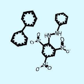 O=[N+]([O-])c1cc([N+](=O)[O-])c(NNc2ccccc2)c([N+](=O)[O-])c1.c1ccc(-c2ccccc2)cc1